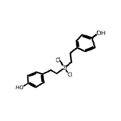 Oc1ccc(C[CH2][Zr]([Cl])([Cl])[CH2]Cc2ccc(O)cc2)cc1